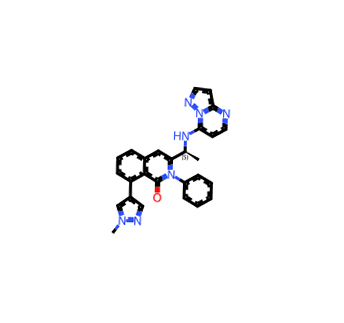 C[C@H](Nc1ccnc2ccnn12)c1cc2cccc(-c3cnn(C)c3)c2c(=O)n1-c1ccccc1